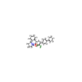 O=C(C(CC(=C(F)F)c1ccc(-c2ccccc2)cc1)c1ccccc1)N1CCCC1